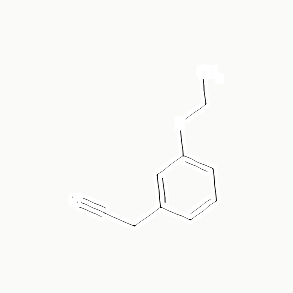 CCSc1cccc(CC#N)c1